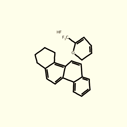 F.FC(F)(F)C1=CC=CCO1.c1ccc2c(c1)ccc1c3c(ccc12)CCCC3